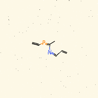 C=C/C=N\C(C)=P/C=C